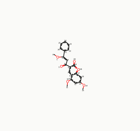 COC(=CC(=O)c1cc2c(OC)cc(OC)cc2oc1=O)c1ccccc1